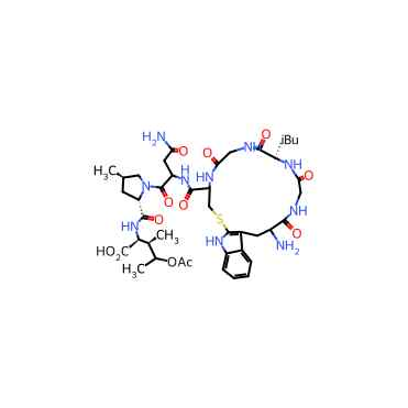 CCC(C)[C@@H]1NC(=O)CNC(=O)C(N)Cc2c([nH]c3ccccc23)SCC(C(=O)NC(CC(N)=O)C(=O)N2C[C@H](C)C[C@H]2C(=O)N[C@H](C(=O)O)[C@@H](C)C(C)OC(C)=O)NC(=O)CNC1=O